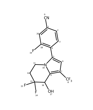 N#Cc1ccc(-c2cc(C(F)(F)F)c3n2CCC(F)(F)C3O)c(F)c1